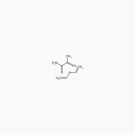 C=C(C)C(N)=O.C=COC=C